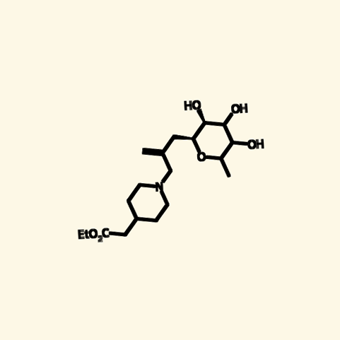 C=C(C[C@@H]1OC(C)C(O)C(O)[C@@H]1O)CN1CCC(CC(=O)OCC)CC1